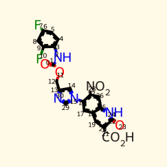 O=C(Nc1ccc(F)cc1F)OCc1cn(-c2cc3cc(C(=O)O)c(=O)[nH]c3cc2[N+](=O)[O-])cn1